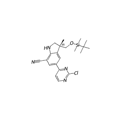 CC(C)(C)[Si](C)(C)OC[C@@]1(C)CNc2c(C#N)cc(-c3ccnc(Cl)n3)cc21